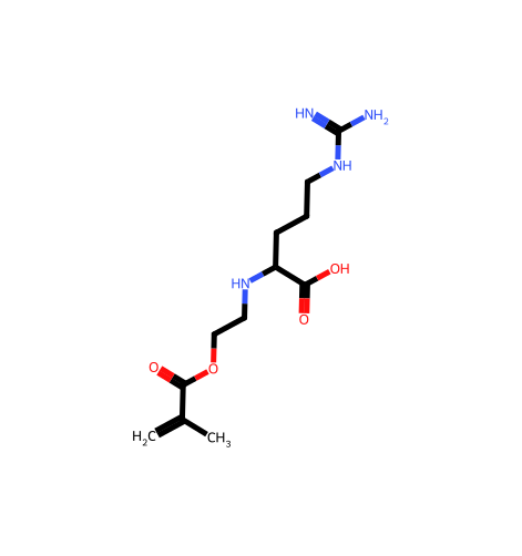 C=C(C)C(=O)OCCNC(CCCNC(=N)N)C(=O)O